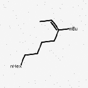 CC=C(CCCC)CCCCCCCCCC